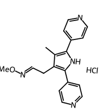 CON=CCc1c(-c2ccncc2)[nH]c(-c2ccncc2)c1C.Cl